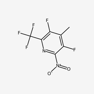 Cc1c(F)c([N+](=O)[O-])nc(C(F)(F)F)c1F